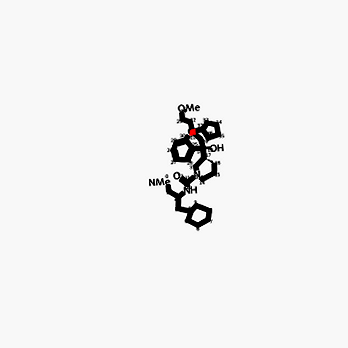 CNCC(CC1CCCCC1)NC(=O)N1CCC[C@@H]([C@@](O)(CCCCOC)c2ccccc2OC2CCCC2)C1